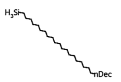 CCCCCCCCCCCCCCCCCCCCCCCCCCCCCC[SiH3]